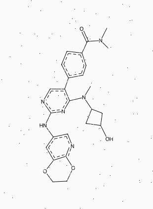 CN(C)C(=O)c1ccc(-c2cnc(Nc3cnc4c(c3)OCCO4)nc2N(C)C2CC(O)C2)cc1